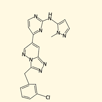 Cn1nccc1Nc1nccc(-c2cnn3c(Cc4cccc(Cl)c4)nnc3c2)n1